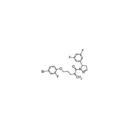 C=C(CCCOc1ccc(Br)cc1F)C(=O)N1N=CCC1c1cc(F)cc(F)c1